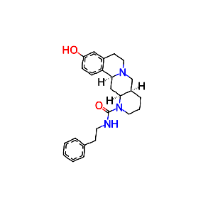 O=C(NCCc1ccccc1)N1CCC[C@@H]2CN3CCc4cc(O)ccc4[C@@H]3C[C@@H]21